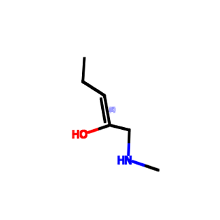 CC/C=C(\O)CNC